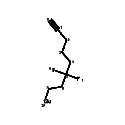 C#CCCCC(F)(F)CCC(C)(C)C